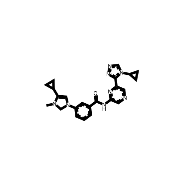 CN1CN(c2cccc(C(=O)Nc3cncc(-c4nncn4C4CC4)n3)c2)C=C1C1CC1